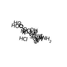 CO/N=C(\C(=O)N[C@@H]1C(=O)N2C(C(=O)O)=C(CSc3nnc(-c4ccc(O)c(O)c4)o3)CS[C@H]12)c1csc(N)n1.Cl